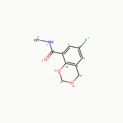 CCCNC(=O)c1cc(F)cc2c1OCOC2